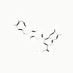 Cc1c(NC(=O)c2cc(C(N)=O)nc3cc(F)c(Cl)cc23)c(C(F)(F)F)nn1Cc1ccc(F)c(F)c1